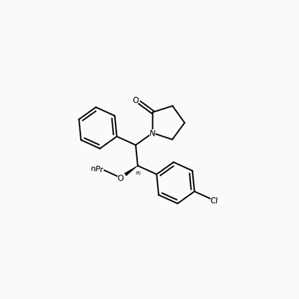 CCCO[C@H](c1ccc(Cl)cc1)C(c1ccccc1)N1CCCC1=O